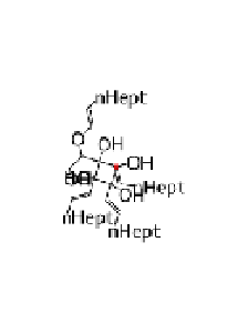 CCCCCCCC=COC(CO)C(O)(C=CCCCCCCC)C(O)(C=CCCCCCCC)C(O)(C=CCCCCCCC)CO